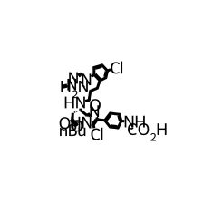 C=N/N=C\N(N)c1ccc(Cl)cc1CCC(=O)N[C@@H](CC(=O)OCCCC)c1nc(-c2ccc(NC(=O)O)cc2)c(Cl)[nH]1